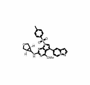 COc1nc(NC2[C@H]3COC[C@@H]23)nc2c1c(-c1ccn3nccc3c1)cn2S(=O)(=O)c1ccc(C)cc1